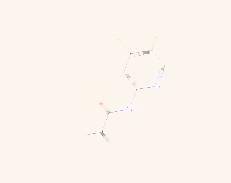 C=C(C)C(=O)Nc1cc(Cl)c(Cl)cn1